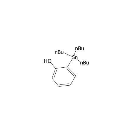 CCC[CH2][Sn]([CH2]CCC)([CH2]CCC)[c]1ccccc1O